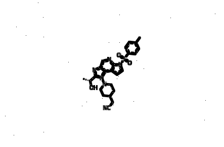 Cc1ccc(S(=O)(=O)n2ccc3c2ncc2nc([C@@H](C)O)n(N4CCC(CC#N)CC4)c23)cc1